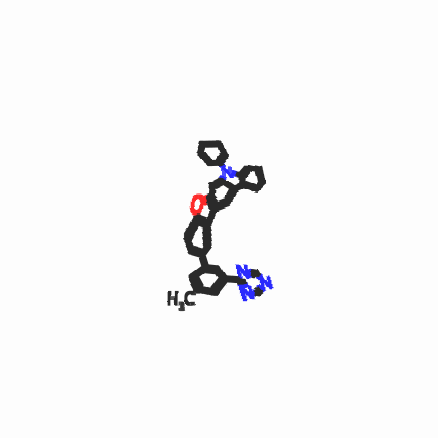 Cc1cc(-c2ccc3oc4cc5c(cc4c3c2)c2ccccc2n5-c2ccccc2)cc(-c2ncncn2)c1